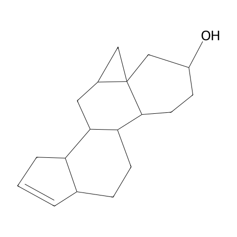 OC1CCC2C3CCC4C=CCC4C3CC3CC32C1